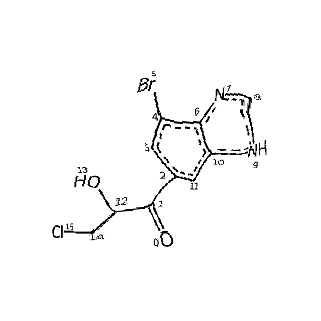 O=C(c1cc(Br)c2nc[nH]c2c1)C(O)CCl